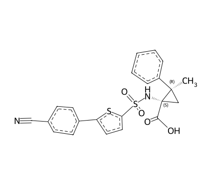 C[C@]1(c2ccccc2)C[C@@]1(NS(=O)(=O)c1ccc(-c2ccc(C#N)cc2)s1)C(=O)O